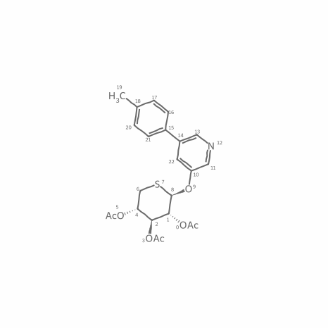 CC(=O)O[C@@H]1[C@@H](OC(C)=O)[C@H](OC(C)=O)CS[C@H]1Oc1cncc(-c2ccc(C)cc2)c1